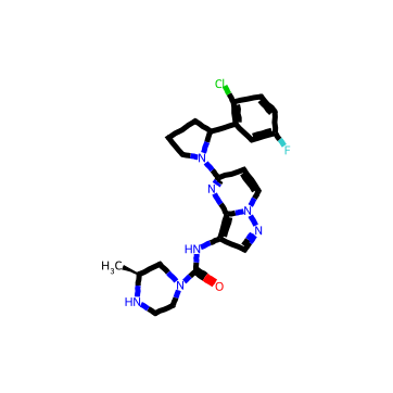 C[C@H]1CN(C(=O)Nc2cnn3ccc(N4CCCC4c4cc(F)ccc4Cl)nc23)CCN1